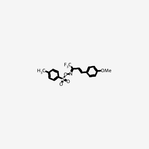 COc1ccc(C=CC(=NOS(=O)(=O)c2ccc(C)cc2)C(F)(F)F)cc1